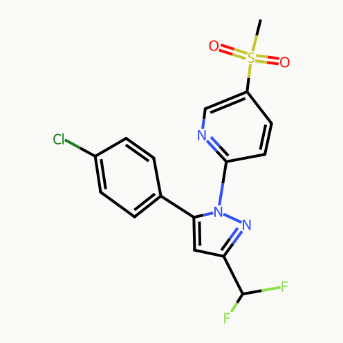 CS(=O)(=O)c1ccc(-n2nc(C(F)F)cc2-c2ccc(Cl)cc2)nc1